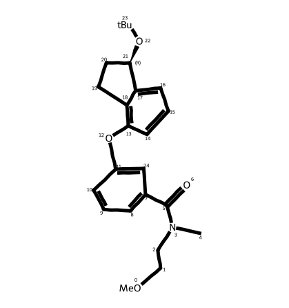 COCCN(C)C(=O)c1cccc(Oc2cccc3c2CC[C@H]3OC(C)(C)C)c1